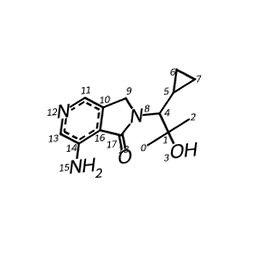 CC(C)(O)C(C1CC1)N1Cc2cncc(N)c2C1=O